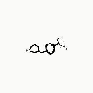 CC(C)c1ccc(C[C@@H]2CCCNC2)cc1